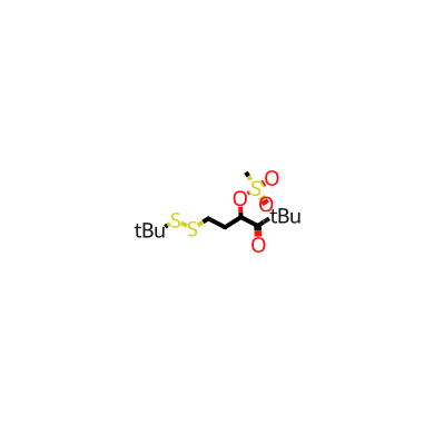 CC(C)(C)SSCCC(OS(C)(=O)=O)C(=O)C(C)(C)C